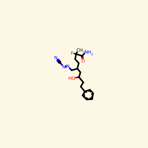 CC(F)(CCC(CN=NC#N)CC(O)[CH]Cc1ccccc1)C(N)=O